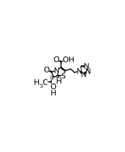 CC(O)[C@H]1C(=O)N2C(C(=O)O)=C(CCn3cnnn3)S[C@H]12